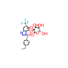 CCc1ccc(Cn2cnc3cc(C(F)(F)F)cc(O[C@@]4(O)[C@H](O)O[C@@H](CO)[C@H](O)[C@H]4O)c32)cc1